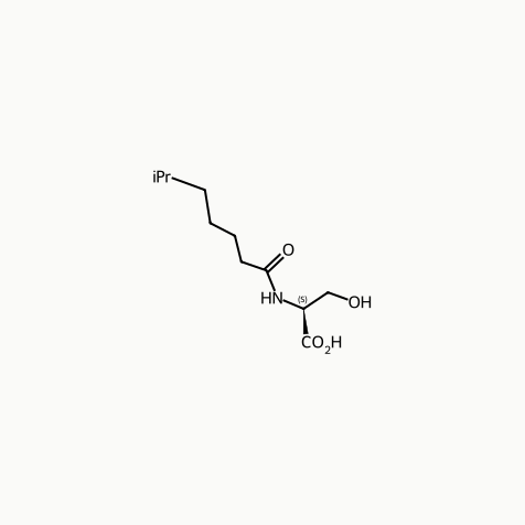 CC(C)CCCCC(=O)N[C@@H](CO)C(=O)O